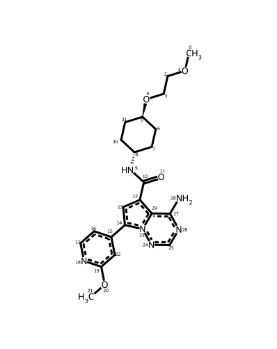 COCCO[C@H]1CC[C@H](NC(=O)c2cc(-c3ccnc(OC)c3)n3ncnc(N)c23)CC1